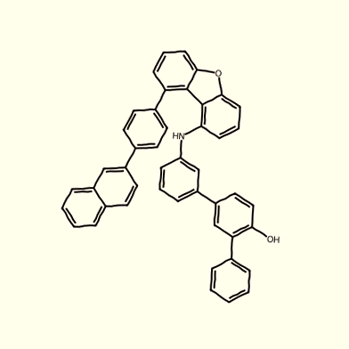 Oc1ccc(-c2cccc(Nc3cccc4oc5cccc(-c6ccc(-c7ccc8ccccc8c7)cc6)c5c34)c2)cc1-c1ccccc1